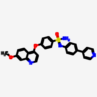 COc1ccc2c(Oc3ccc(S(N)(=O)=Nc4ccc(-c5ccncc5)cc4)cc3)ccnc2c1